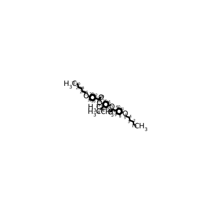 CCCCCCOc1ccc(C(=O)Oc2ccc(OC(=O)c3ccc(OCCCCCC)cc3)c(C(C)(C)C)c2)cc1